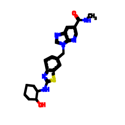 CNC(=O)c1cnc2c(c1)ncn2Cc1ccc2nc(NC3CCCCC3O)sc2c1